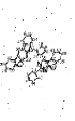 c1ccc(-c2nc(-c3cccc(-n4c5ccccc5c5cc6c(cc54)oc4ccccc46)c3)c3c(n2)oc2ccccc23)cc1